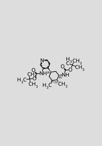 C[C@H]1[C@@H](C)C[C@@H](c2ccncc2NC(=O)OC(C)(C)C)C[C@H]1NC(=O)OC(C)(C)C